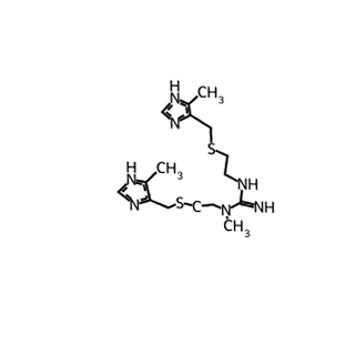 Cc1[nH]cnc1CSCCNC(=N)N(C)CCSCc1nc[nH]c1C